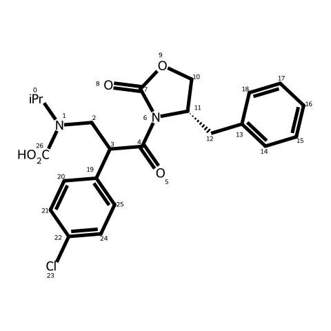 CC(C)N(CC(C(=O)N1C(=O)OC[C@@H]1Cc1ccccc1)c1ccc(Cl)cc1)C(=O)O